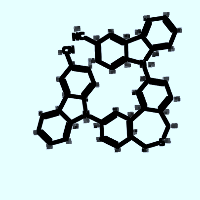 N#Cc1ccc2c(c1)c1ccccc1n2-c1ccc2c(c1)-c1cc(-n3c4ccccc4c4cc(C#N)ccc43)ccc1CSC2